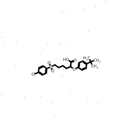 CC(C)(C)c1ccc(OC(CCCCS(=O)(=O)c2ccc(Cl)cc2)C(=O)O)cc1